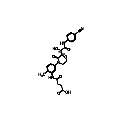 Cc1ccc(N2CCO[C@H]([C@@H](O)C(=O)Nc3ccc(C#N)cc3)C2=O)cc1NC(=O)CCC(=O)O